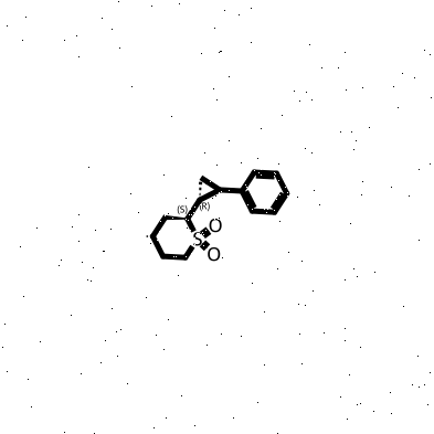 O=S1(=O)CC[CH]C[C@H]1[C@@H]1CC1c1ccccc1